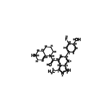 Cc1n[nH]c2nc(-c3ccc(O)c(F)c3)cc(C(=O)N3CCCC4CNCC=C43)c12